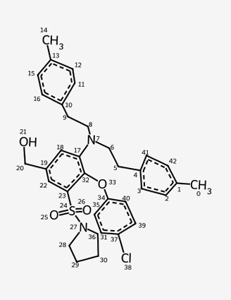 Cc1ccc(CCN(CCc2ccc(C)cc2)c2cc(CO)cc(S(=O)(=O)N3CCCC3)c2Oc2ccc(Cl)cc2)cc1